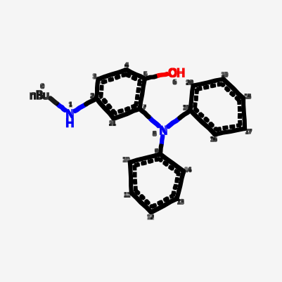 CCCCNc1ccc(O)c(N(c2ccccc2)c2ccccc2)c1